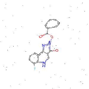 O=C(On1nc2c3cccc(F)c3[nH]cc-2c1=O)c1ccccc1